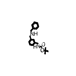 CC(C)(C)OC(=O)NCc1cccc(CNCc2ccccc2)c1